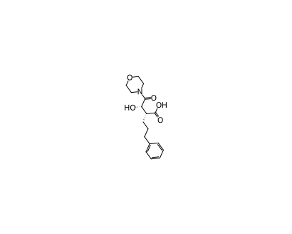 O=C(O)[C@H](CCCc1ccccc1)[C@H](O)C(=O)N1CCOCC1